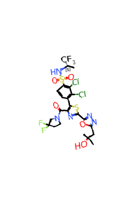 C[C@H](NS(=O)(=O)c1ccc(-c2sc(-c3nnc(CC(C)(C)O)o3)nc2C(=O)N2CCC(F)(F)C2)c(Cl)c1Cl)C(F)(F)F